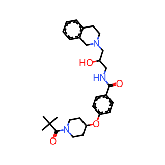 CC(C)(C)C(=O)N1CCC(Oc2ccc(C(=O)NCC(O)CN3CCc4ccccc4C3)cc2)CC1